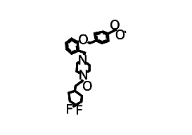 COC(=O)c1ccc(COc2ccccc2CN2CCN(C(=O)CC3CCC(F)(F)CC3)CC2)cc1